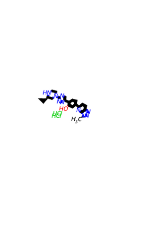 Cl.Cl.Cn1nnc2ccc(-c3ccc(-c4cnc(N5CCN[C@@H](C6CC6)C5)nn4)c(O)c3)nc21